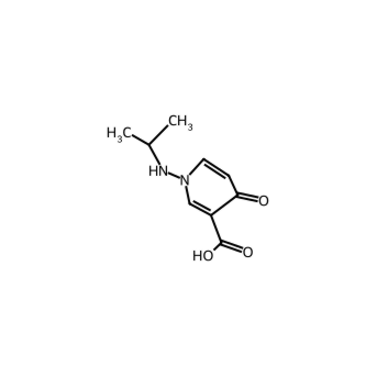 CC(C)Nn1ccc(=O)c(C(=O)O)c1